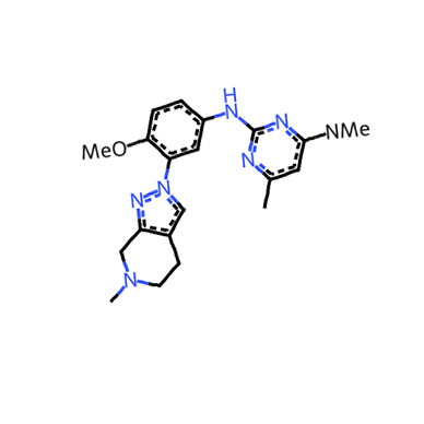 CNc1cc(C)nc(Nc2ccc(OC)c(-n3cc4c(n3)CN(C)CC4)c2)n1